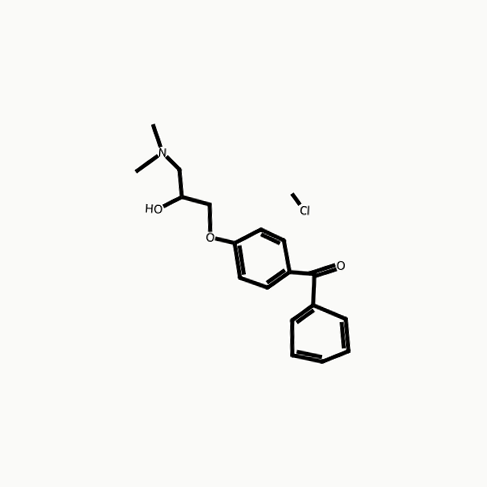 CCl.CN(C)CC(O)COc1ccc(C(=O)c2ccccc2)cc1